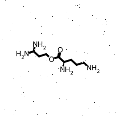 NCCC[C@@H](N)C(=O)OCCC(N)N